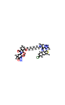 Cc1sc2c(c1C)C(c1ccc(Cl)cc1)=N[C@@H](C1C=CN1CCCCCCCCOc1cccc3c1C(=O)N(C1CC4(CC4)C(=O)NC1=O)C3=O)c1nnc(C)n1-2